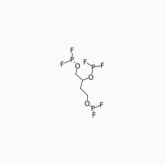 FP(F)OCCC(COP(F)F)OP(F)F